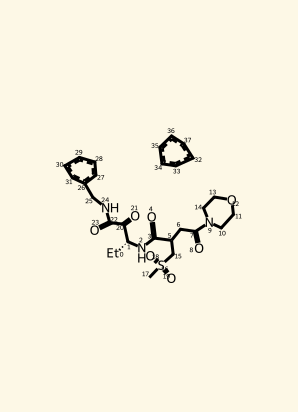 CC[C@@H](NC(=O)C(CC(=O)N1CCOCC1)CS(C)(=O)=O)C(=O)C(=O)NCc1ccccc1.c1ccccc1